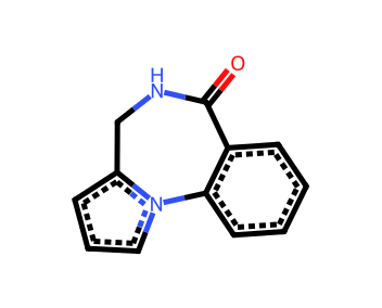 O=C1NCc2cccn2-c2ccccc21